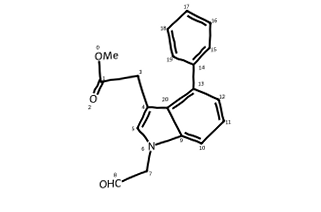 COC(=O)Cc1cn(CC=O)c2cccc(-c3ccccc3)c12